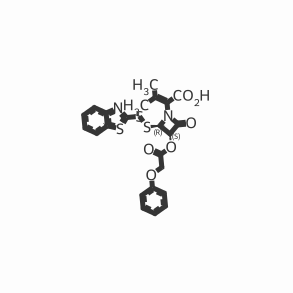 CC(C)=C(C(=O)O)N1C(=O)[C@H](OC(=O)COc2ccccc2)[C@H]1SSc1nc2ccccc2s1